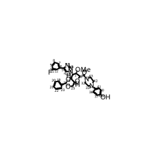 CO[C@@H]1[C@@H](n2cc(-c3cccc(F)c3)nn2)[C@H]2OC(c3ccccc3)OC[C@H]2O[C@H]1C(=O)N1CCN(c2ccc(O)cc2)CC1